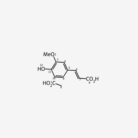 CC(=O)O.COc1cc(C=CC(=O)O)ccc1O